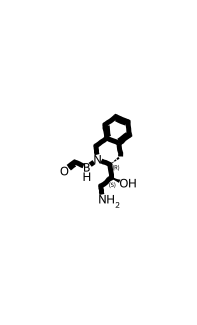 NC[C@H](O)[C@H]1Cc2ccccc2CN1BC=O